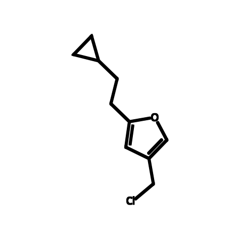 ClCc1coc(CCC2CC2)c1